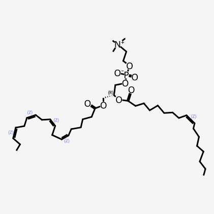 CC/C=C\C/C=C\C/C=C\C/C=C\CCCCC(=O)OC[C@H](COP(=O)([O-])OCC[N+](C)(C)C)OC(=O)CCCCCCC/C=C\CCCCCCC